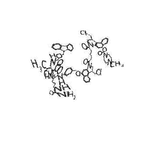 CC(C)C(NC(=O)OCC1c2ccccc2-c2ccccc21)C(=O)NC(CCCNC(N)=O)C(=O)Nc1ccc(COc2cc3c(c4ccccc24)[C@H](CCl)CN3C(=O)CCCC(=O)N2CC(CCl)c3c2cc(OC(=O)N2CCN(C)CC2)c2ccccc32)cc1